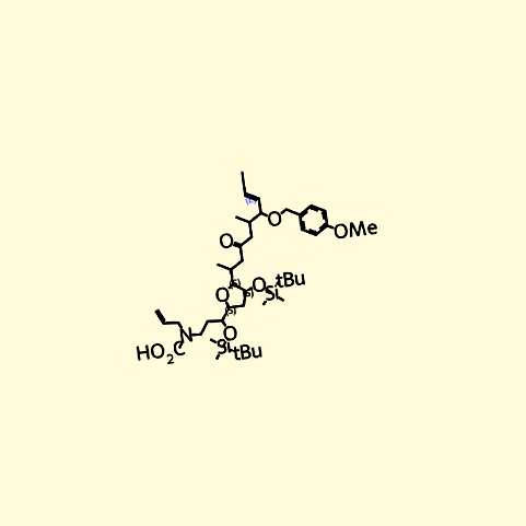 C=CCN(CCC(O[Si](C)(C)C(C)(C)C)[C@@H]1C[C@H](O[Si](C)(C)C(C)(C)C)[C@H](C(C)CC(=O)CC(C)C(/C=C/I)OCc2ccc(OC)cc2)O1)C(=O)O